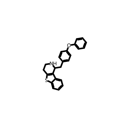 c1ccc(Oc2ccc(CC3NCCc4sc5ccccc5c43)cc2)cc1